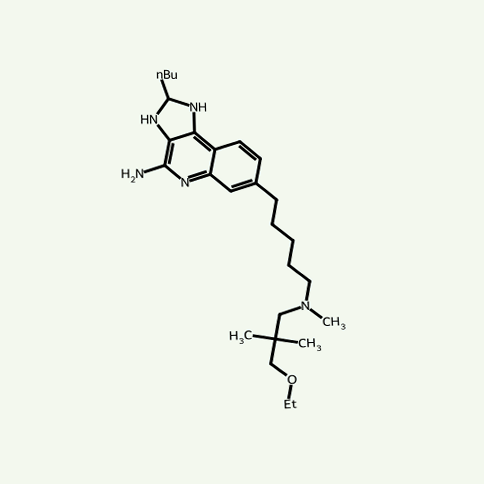 CCCCC1Nc2c(N)nc3cc(CCCCCN(C)CC(C)(C)COCC)ccc3c2N1